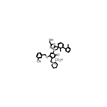 Cc1ccccc1C1=CC=CC(COc2cc(OCc3cccc(C#N)c3)c(CN3CCCC[C@H]3C(=O)O)cc2Cl)(c2nnc(CO)o2)C1C